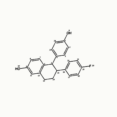 Oc1ccc(C2c3ccc(O)cc3CCC2c2ccc(F)cc2)cc1